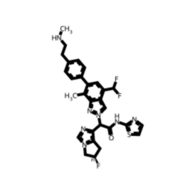 CNCCc1ccc(-c2cc(C(F)F)c3cn(C(C(=O)Nc4nccs4)c4ncn5c4C[C@@H](F)C5)nc3c2C)cc1